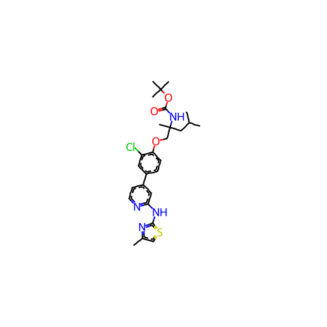 Cc1csc(Nc2cc(-c3ccc(OCC(C)(CC(C)C)NC(=O)OC(C)(C)C)c(Cl)c3)ccn2)n1